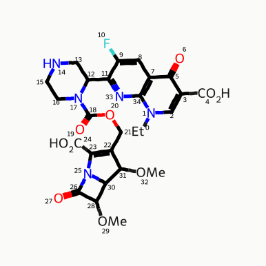 CCn1cc(C(=O)O)c(=O)c2cc(F)c(C3CNCCN3C(=O)OCC3=C(C(=O)O)N4C(=O)C(OC)C4C3OC)nc21